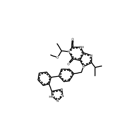 COC(C)n1c(=O)[nH]c2nc(C(C)C)n(Cc3ccc(-c4ccccc4-c4nnn[nH]4)cc3)c2c1=O